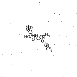 CCS(=O)(=O)c1ccc(C(CO)NC(=O)c2ccc3c(OC[C@@H]4CC[C@H](C(F)(F)F)OC4)nc(C)cc3c2)cc1